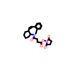 O=C(CCC(=O)N1Cc2ccccc2C#CC2CCCCC21)ON1C(=O)CCC1=O